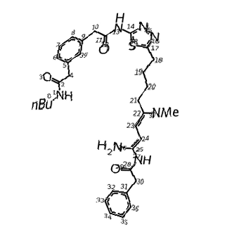 CCCCNC(=O)Cc1cccc(CC(=O)Nc2nnc(CCCC/C(=C/C=C(\N)NC(=O)Cc3ccccc3)NC)s2)c1